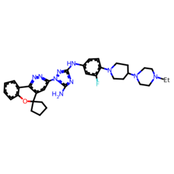 CCN1CCN(C2CCN(c3ccc(Nc4nc(N)n(-c5cc6c(nn5)-c5ccccc5OC65CCCC5)n4)cc3F)CC2)CC1